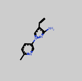 C=Cc1cn(-c2ccc(C)nc2)nc1N